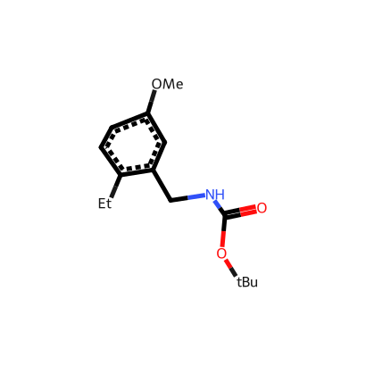 CCc1ccc(OC)cc1CNC(=O)OC(C)(C)C